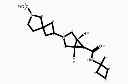 CCOC(=O)N1CCC2(CC(N3C[C@@H]4C(C(=O)NC5(C)CCC5)[C@@H]4C3)C2)C1